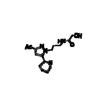 CC(=O)c1cc(-c2ccccn2)n(CCCNC(=O)CO)n1